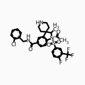 CC(=O)[N+]1(S(=O)(=O)c2ccc(F)c(C(F)(F)F)c2)c2ccc(C(=O)NCc3ccccc3Cl)cc2C2(CCNCC2)C1C